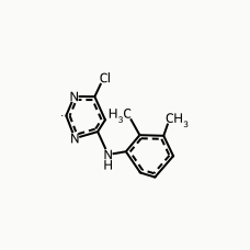 Cc1cccc(Nc2cc(Cl)n[c]n2)c1C